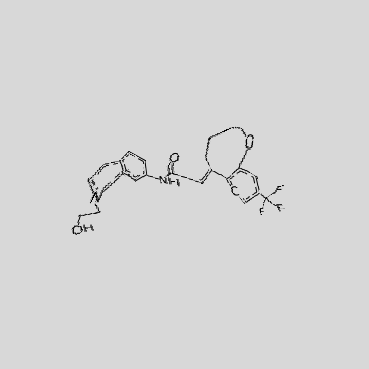 O=C(C=C1CCCOc2cc(C(F)(F)F)ccc21)Nc1ccc2ccn(CCO)c2c1